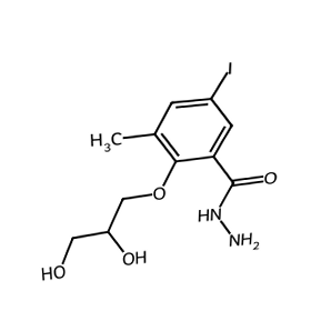 Cc1cc(I)cc(C(=O)NN)c1OCC(O)CO